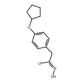 ON=C(Cl)Cc1ccc(OC2CCCC2)cc1